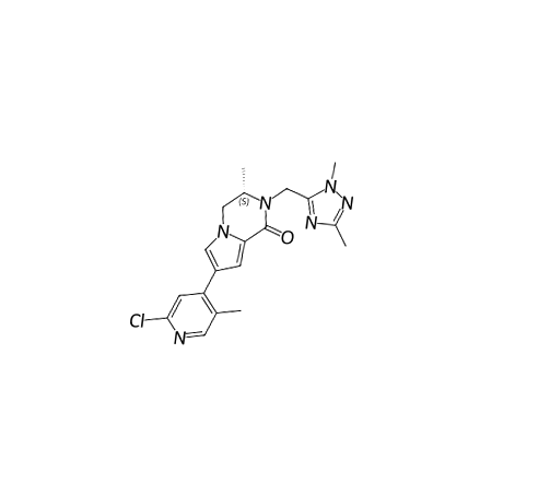 Cc1nc(CN2C(=O)c3cc(-c4cc(Cl)ncc4C)cn3C[C@@H]2C)n(C)n1